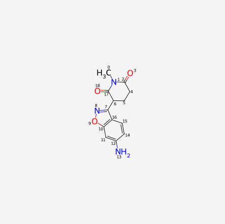 CN1C(=O)CCC(c2noc3cc(N)ccc23)C1=O